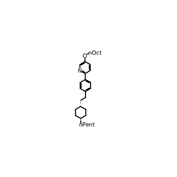 CCCCCCCCOc1ccc(-c2ccc(CC[C@H]3CC[C@H](CCCCC)CC3)cc2)nc1